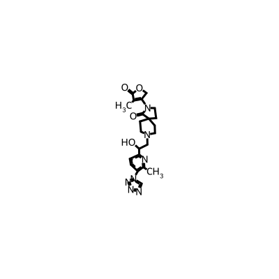 CC1=C(N2CCC3(CCN(CC(O)c4ccc(-n5cnnn5)c(C)n4)CC3)C2=O)COC1=O